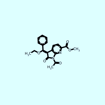 CCO/C(=C1\C(=O)N(C(C)=O)c2nc(C(=O)OC)ccc21)c1ccccc1